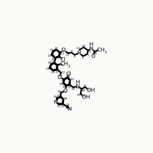 CC(=O)NC1CCN(CCCOc2cccc(-c3cccc(COc4cc(OCc5cncc(C#N)c5)c(CNC(CO)CO)cc4Cl)c3C)c2Cl)CC1